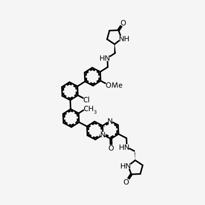 COc1cc(-c2cccc(-c3cccc(-c4ccn5c(=O)c(CNC[C@@H]6CCC(=O)N6)cnc5c4)c3C)c2Cl)ccc1CNC[C@H]1CCC(=O)N1